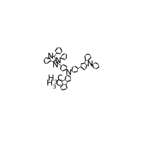 CC1(C)c2ccccc2-c2ccc(N(c3ccc(-c4ccc5c(c4)c4ccccc4n5-c4ccccc4)cc3)c3ccc(-c4nc5c6ccccc6nc(-c6ccccc6)c5n4-c4ccccc4)cc3)cc21